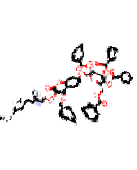 CC(C)=CCC/C(C)=C/COc1c(OCc2ccccc2)c2ccc(O[C@@H]3O[C@H](COC(=O)c4ccccc4)[C@H](OC(=O)c4ccccc4)[C@H](OC(=O)c4ccccc4)[C@H]3OC(=O)c3ccccc3)cc2oc1=O